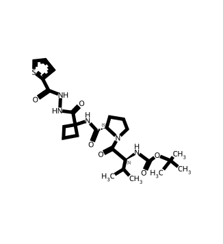 CC(C)[C@H](NC(=O)OC(C)(C)C)C(=O)N1CCC[C@H]1C(=O)NC1(C(=O)NNC(=O)c2cccs2)CCC1